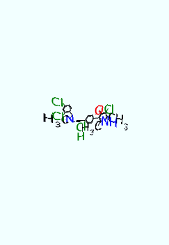 Cc1[nH]c(C)c(-c2ccc(C#CCN(C)Cc3ccc(Cl)cc3Cl)cc2)c(=O)c1Cl.Cl